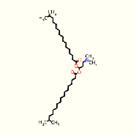 CC(C)CCCCCCCCCCCCCCC(=O)OC(CCN(C)C)OC(=O)CCCCCCCCCCCCCCC(C)C